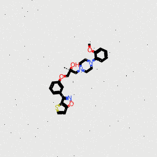 COc1ccccc1N1CCN(C[C@](C)(O)COc2cccc(-c3noc4ccsc34)c2)CC1